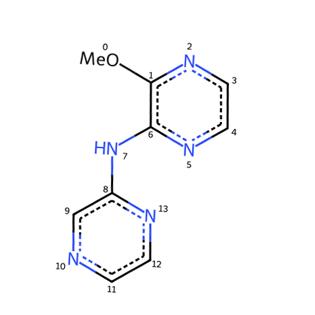 COc1nccnc1Nc1cnccn1